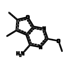 COc1nc(N)c2c(C)c(C)oc2n1